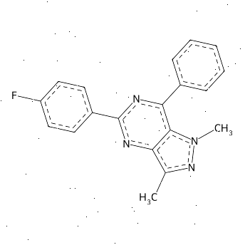 Cc1nn(C)c2c(-c3ccccc3)nc(-c3ccc(F)cc3)nc12